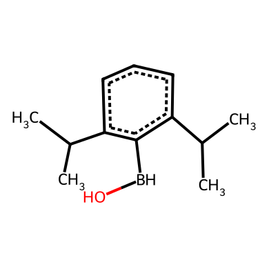 CC(C)c1cccc(C(C)C)c1BO